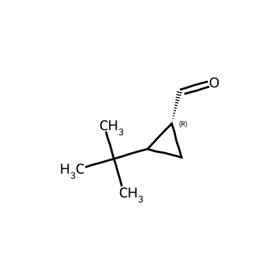 CC(C)(C)C1C[C@H]1C=O